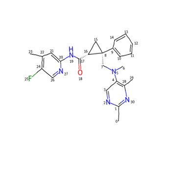 Cc1ncc(N(C)C[C@@]2(c3ccccc3)C[C@H]2C(=O)Nc2cc(C)c(F)cn2)c(C)n1